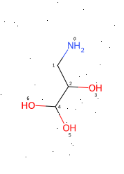 NCC(O)C(O)O